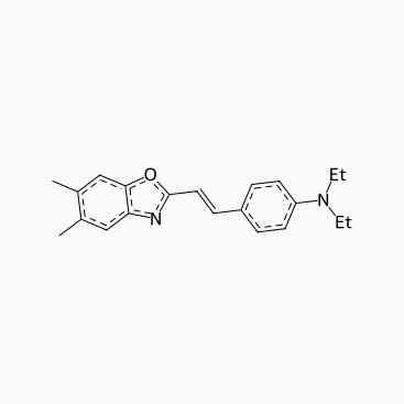 CCN(CC)c1ccc(/C=C/c2nc3cc(C)c(C)cc3o2)cc1